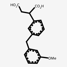 COc1cccc(Cc2cccc(C(CC(=O)O)C(=O)O)c2)c1